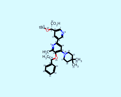 Cc1nc(-c2cncc([C@H](OC(C)(C)C)C(=O)O)c2)cc(N2CCC(C)(C)CC2)c1O[C@@H](C)c1ccccc1